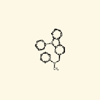 CN(Cc1ccc2c3ccccc3n(-c3ccccc3)c2c1)c1ccccc1